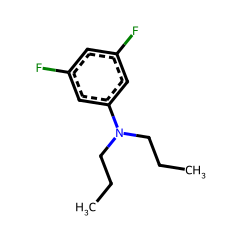 CCCN(CCC)c1cc(F)cc(F)c1